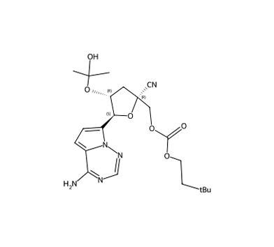 CC(C)(C)CCOC(=O)OC[C@]1(C#N)C[C@@H](OC(C)(C)O)[C@H](c2ccc3c(N)ncnn23)O1